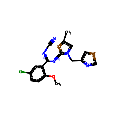 COc1ccc(Cl)cc1C(=N/C#N)/N=c1\sc(C)cn1Cc1cscn1